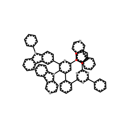 c1ccc(-c2nc(-c3ccccc3)nc(-c3ccccc3-c3cc(-n4c5ccccc5c5cnccc54)nc(-c4ccc5c(c4)c4ccccc4n5-c4ccccc4)c3-n3c4ccccc4c4cnccc43)n2)cc1